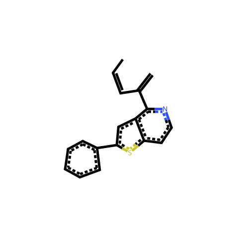 C=C(/C=C\C)c1nccc2sc(-c3ccccc3)cc12